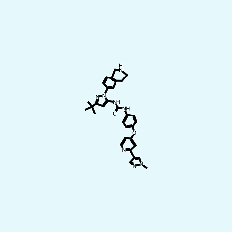 Cn1cc(-c2cc(Oc3ccc(NC(=O)Nc4cc(C(C)(C)C)nn4-c4ccc5c(c4)CCNC5)cc3)ccn2)cn1